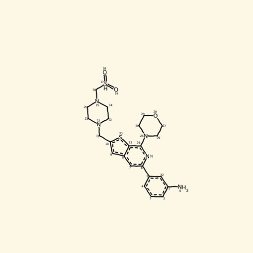 Nc1cccc(-c2cc3cc(CN4CCN(C[SH](=O)=O)CC4)sc3c(N3CCOCC3)n2)c1